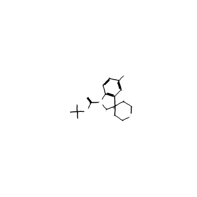 CC(C)(C)OC(=O)N1CC2(CCNCC2)c2cc(F)ccc21